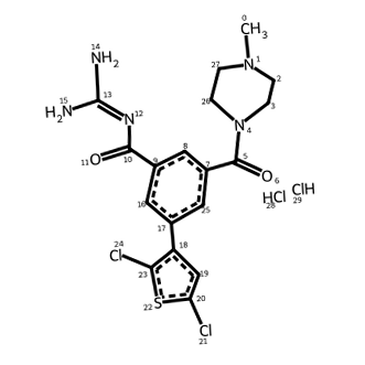 CN1CCN(C(=O)c2cc(C(=O)N=C(N)N)cc(-c3cc(Cl)sc3Cl)c2)CC1.Cl.Cl